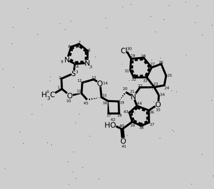 CC(CSc1ncccn1)O[C@H]1CCO[C@H]([C@@H]2CC[C@H]2CN2CC3(CCCc4cc(Cl)ccc43)COc3ccc(C(=O)O)cc32)C1